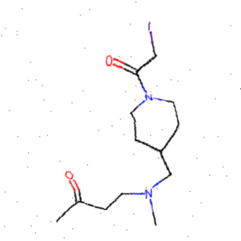 CC(=O)CCN(C)CC1CCN(C(=O)CI)CC1